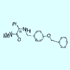 CNC(=O)[C@H](NCc1ccc(OCc2ccccc2)cc1)C(C)C